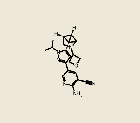 CC(C)n1nc(-c2cnc(N)c(C#N)c2)cc1[C@@]12C3[C@H]1[C@H]2CN3C1COC1